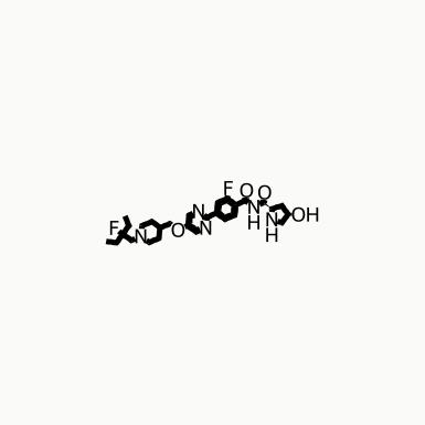 CCC(F)(CC)CN1CCC(COc2cnc(-c3ccc(C(=O)NC(=O)[C@@H]4C[C@@H](O)CN4)c(F)c3)nc2)CC1